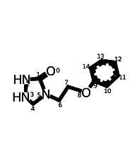 O=C1NNCN1CCOc1ccccc1